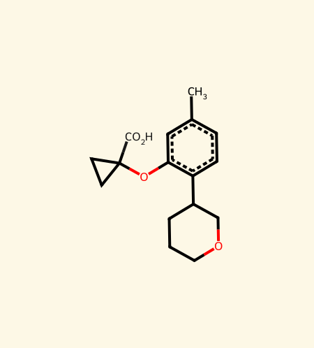 Cc1ccc(C2CCCOC2)c(OC2(C(=O)O)CC2)c1